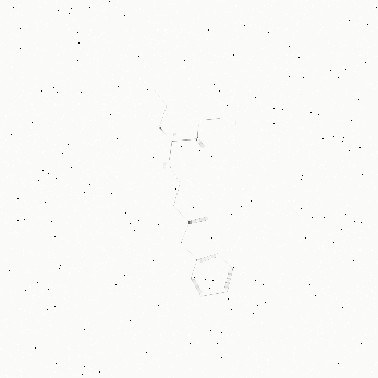 COC(=O)[C@H](CCS)NCCC(=O)Cc1ccccc1